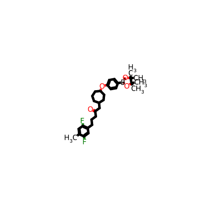 Cc1cc(F)c(CCCC(=O)CC2CCCC(Oc3ccc(B4OC(C)(C)C(C)(C)O4)cc3)CC2)cc1F